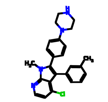 Cc1cccc(-c2c(-c3ccc(N4CCNCC4)cc3)n(C)c3nccc(Cl)c23)c1